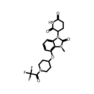 Cn1c(=O)n(C2CCC(=O)NC2=O)c2cccc(OC3CCN(C(=O)C(F)(F)F)CC3)c21